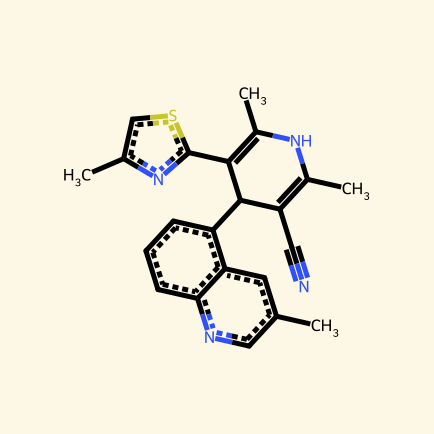 CC1=C(C#N)C(c2cccc3ncc(C)cc23)C(c2nc(C)cs2)=C(C)N1